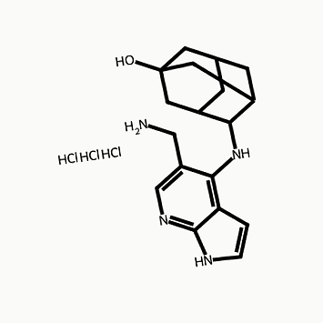 Cl.Cl.Cl.NCc1cnc2[nH]ccc2c1NC1C2CC3CC1CC(O)(C3)C2